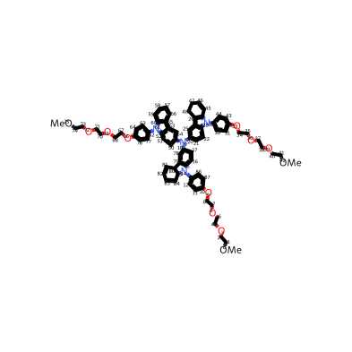 COCCOCCOCCOc1ccc(N2c3ccc(N(c4ccc5c(c4)c4c(n5-c5ccc(OCCOCCOCCOC)cc5)C=CCC4)c4ccc5c(c4)c4ccccc4n5-c4ccc(OCCOCCOCCOC)cc4)cc3C3C=CC=CC32)cc1